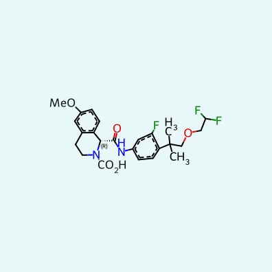 COc1ccc2c(c1)CCN(C(=O)O)[C@H]2C(=O)Nc1ccc(C(C)(C)COCC(F)F)c(F)c1